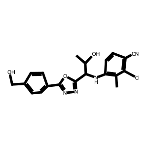 Cc1c(NC(c2nnc(-c3ccc(CO)cc3)o2)C(C)O)ccc(C#N)c1Cl